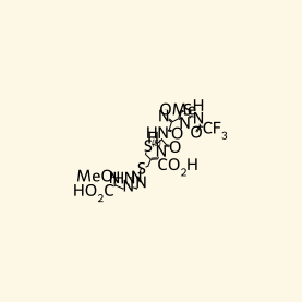 CON=C(CN1C=NN(SCC2=C(C(=O)O)N3C(=O)C(NC(=O)C(=NOC)c4csc(NC(=O)C(F)(F)F)n4)[C@@H]3SC2)N1)C(=O)O